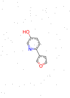 Oc1ccc(-c2ccoc2)nc1